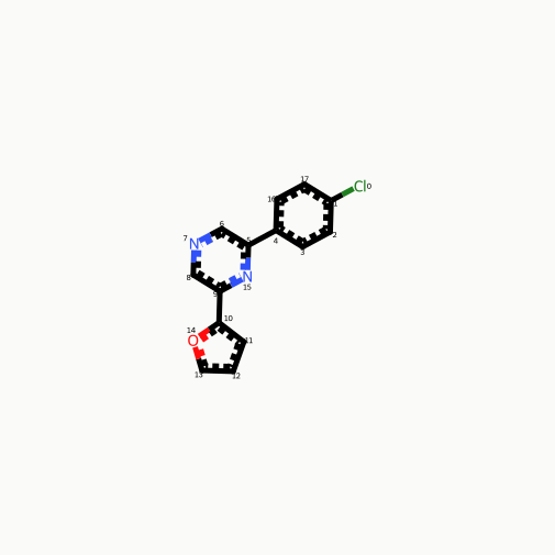 Clc1ccc(-c2cncc(-c3ccco3)n2)cc1